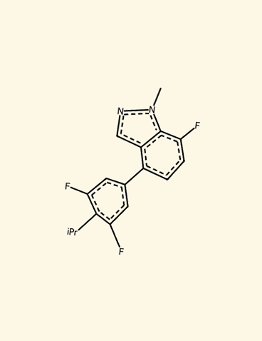 CC(C)c1c(F)cc(-c2ccc(F)c3c2cnn3C)cc1F